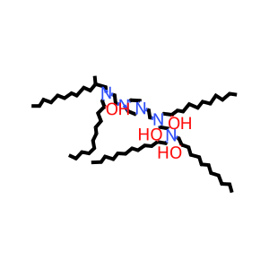 CCCCCCCCCCC(C)CN(CCN1CCN(CCN(CCN(CC(O)CCCCCCCCCC)CC(O)CCCCCCCCCC)CC(O)CCCCCCCCCC)CC1)CC(O)CCCCCCCCCC